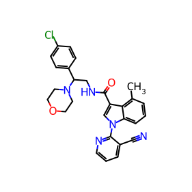 Cc1cccc2c1c(C(=O)NCC(c1ccc(Cl)cc1)N1CCOCC1)cn2-c1ncccc1C#N